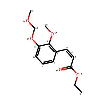 CCOC(=O)/C=C\c1cccc(OCOC)c1OC